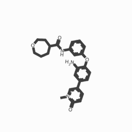 Cn1cc(-c2ccc(Oc3cccc(NC(=O)C4CCCOCC4)c3)c(N)c2)ccc1=O